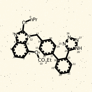 CCCOc1nc2cccc(OC(=O)OCC)c2n1Cc1ccc(-c2ccccc2-c2nnn[nH]2)cc1